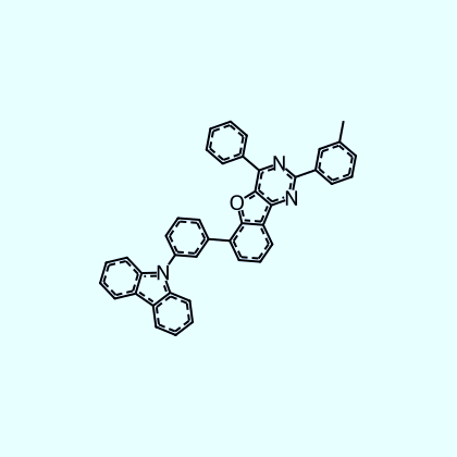 Cc1cccc(-c2nc(-c3ccccc3)c3oc4c(-c5cccc(-n6c7ccccc7c7ccccc76)c5)cccc4c3n2)c1